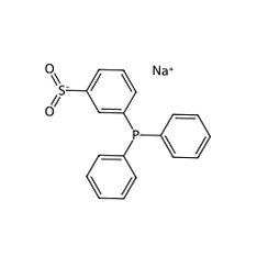 O=[S-](=O)c1cccc(P(c2ccccc2)c2ccccc2)c1.[Na+]